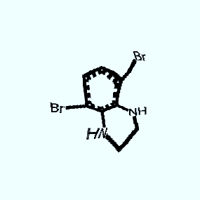 Brc1ccc(Br)c2c1NCCN2